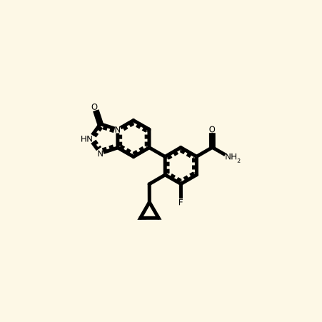 NC(=O)c1cc(F)c(CC2CC2)c(-c2ccn3c(=O)[nH]nc3c2)c1